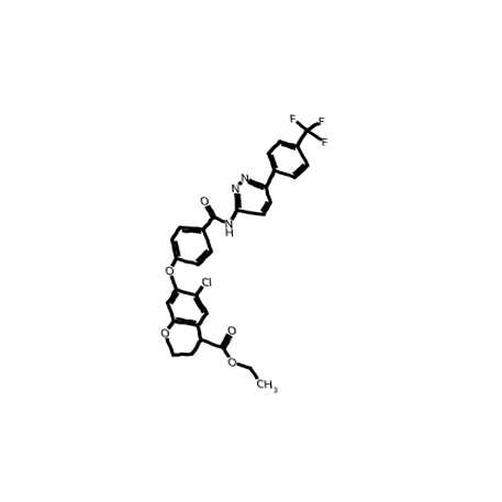 CCOC(=O)C1CCOc2cc(Oc3ccc(C(=O)Nc4ccc(-c5ccc(C(F)(F)F)cc5)nn4)cc3)c(Cl)cc21